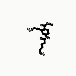 COC(=O)c1ccc(NC(=O)CCCCN)cc1C#CCN